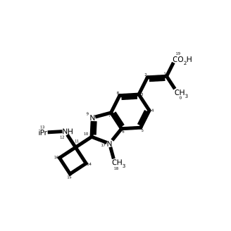 C/C(=C\c1ccc2c(c1)nc(C1(NC(C)C)CCC1)n2C)C(=O)O